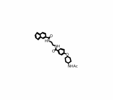 CC(=O)N[C@H]1CC[C@@H](Oc2ccc(C(=O)NCCNC(=O)c3ccc4ccccc4c3)cc2)CC1